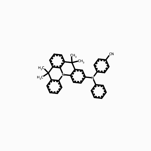 CC1(C)c2ccccc2N2c3ccc(N(c4ccccc4)c4ccc(C#N)cc4)cc3C(C)(C)c3cccc1c32